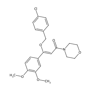 COc1ccc(C(=CC(=O)N2CCOCC2)OCc2ccc(Cl)cc2)cc1OC